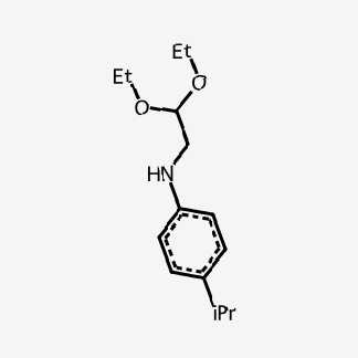 CCOC(CNc1ccc(C(C)C)cc1)OCC